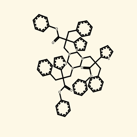 O=C(Oc1ccccc1)C(Cc1ccccc1)(CN1CN(CC(Cc2ccccc2)(C(=O)Oc2ccccc2)c2cccs2)CN(CC(Cc2ccccc2)(C(=O)Oc2ccccc2)c2cccs2)C1)c1cccs1